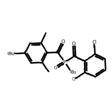 CCC(C)P(=O)(C(=O)c1c(C)cc(C(C)(C)C)cc1C)C(=O)c1c(Cl)cccc1Cl